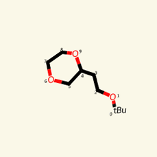 CC(C)(C)OCCC1COCCO1